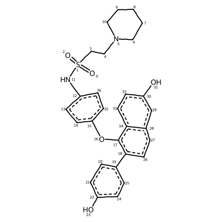 O=S(=O)(CCN1CCCCC1)Nc1ccc(Oc2c(-c3ccc(O)cc3)ccc3cc(O)ccc23)cc1